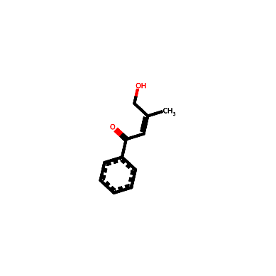 CC(=CC(=O)c1ccccc1)CO